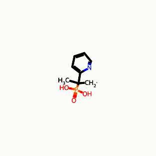 [CH2]C(C)(c1ccccn1)P(=O)(O)O